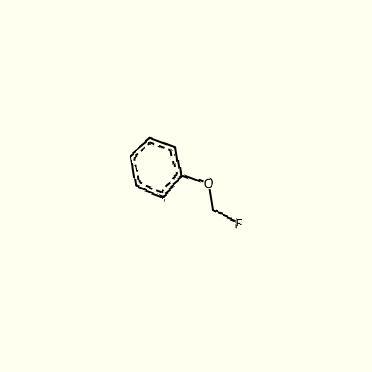 FCOc1[c]cccc1